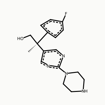 C[C@](CO)(c1ccc(F)cc1)c1cnc(N2CCNCC2)nc1